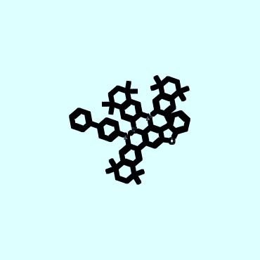 Cc1cc2c(cc1N1c3cc4c(cc3B3c5c(cc6oc7ccccc7c6c51)-c1cc5c(cc1N3c1ccc(-c3ccccc3)cc1)C(C)(C)CCC5(C)C)C(C)(C)CCC4(C)C)C(C)(C)CCC2(C)C